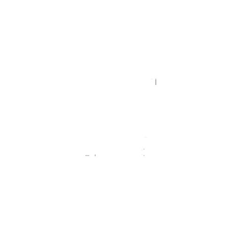 CCCC(CCC)OCl